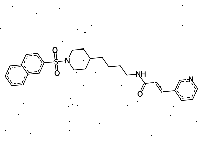 O=C(C=Cc1cccnc1)NCCCCC1CCN(S(=O)(=O)c2ccc3ccccc3c2)CC1